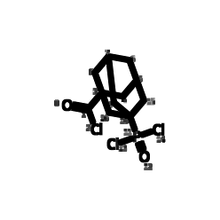 O=C(Cl)C12CC3CC(C1)CC(P(=O)(Cl)Cl)(C3)C2